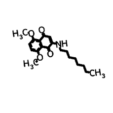 CCCCCCCCNC1=CC(=O)c2c(OC)ccc(OC)c2C1=O